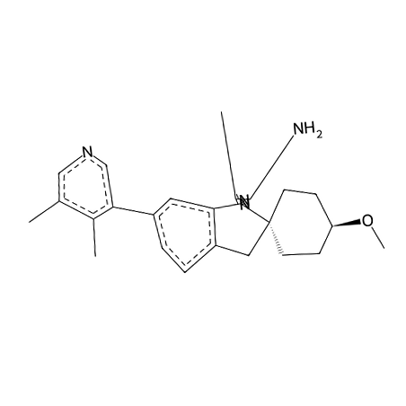 CO[C@H]1CC[C@]2(CC1)Cc1ccc(-c3cncc(C)c3C)cc1C21N=C(C)C(N)=N1